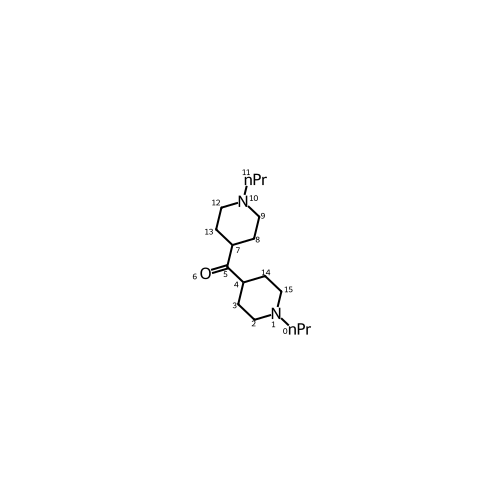 CCCN1CCC(C(=O)C2CCN(CCC)CC2)CC1